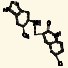 N#Cc1cc2[nH]cnc2cc1NCc1cc2cc(Cl)ccc2[nH]c1=O